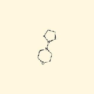 [CH]1CCCN1N1CCOCC1